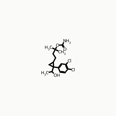 CC(O)C1(c2ccc(Cl)c(Cl)c2)CC1CCC(C)(C)OC(N)=O